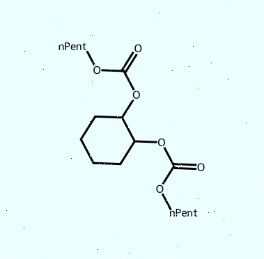 CCCCCOC(=O)OC1CCCCC1OC(=O)OCCCCC